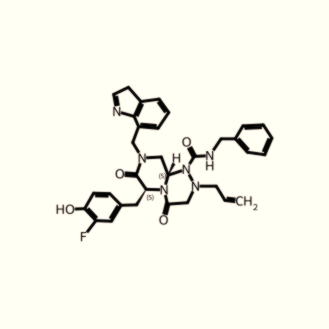 C=CCN1CC(=O)N2[C@@H](Cc3ccc(O)c(F)c3)C(=O)N(Cc3cccc4c3N=CC4)C[C@@H]2N1C(=O)NCc1ccccc1